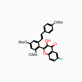 COc1ccc(/C=C/c2cc(OC)cc(OC)c2-c2oc3ccc(F)cc3c(=O)c2O)cc1